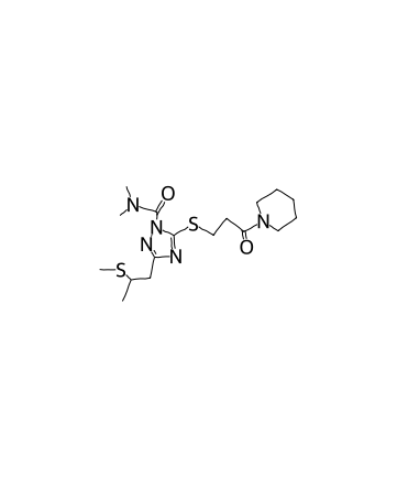 CSC(C)Cc1nc(SCCC(=O)N2CCCCC2)n(C(=O)N(C)C)n1